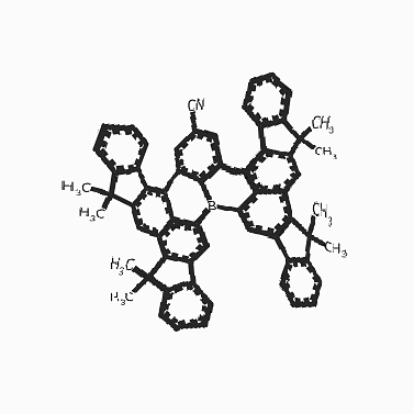 CC1(C)c2ccccc2-c2c1cc1c3c(cc4c1c2-c1cc(C#N)cc2c1B4c1cc4c(c5cc6c(c-2c15)-c1ccccc1C6(C)C)C(C)(C)c1ccccc1-4)-c1ccccc1C3(C)C